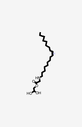 CCCCCCCC/C=C\CCCCCCCCNCC(=O)OCC(O)O